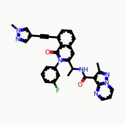 Cc1nn2cccnc2c1C(=O)NC(C)c1cc2cccc(C#Cc3cnn(C)c3)c2c(=O)n1-c1cccc(F)c1